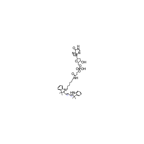 CC1(C)C(/C=C/C=C2\Nc3ccccc3C2(C)C)=[N+](CCCCCCNC(=O)CCOP(=O)(O)OCC2OC(n3cnc4c(=O)[nH]cnc43)CC2O)c2ccccc21